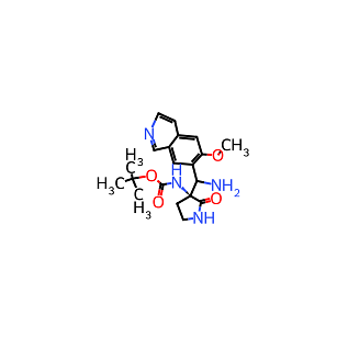 COc1cc2ccncc2cc1C(N)[C@@]1(NC(=O)OC(C)(C)C)CCNC1=O